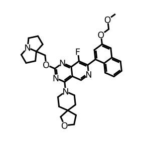 COCOc1cc(-c2ncc3c(N4CCC5(CCOC5)CC4)nc(OCC45CCCN4CCC5)nc3c2F)c2ccccc2c1